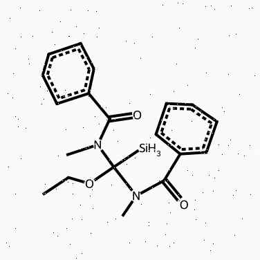 CCOC([SiH3])(N(C)C(=O)c1ccccc1)N(C)C(=O)c1ccccc1